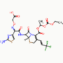 CCOC(=O)OC(C)OC(=O)C1=C(/C=C/C(F)(F)F)CS[C@@H]2C(NC(=O)/C(=N\OCC(=O)O)c3csc(N)n3)C(=O)N12